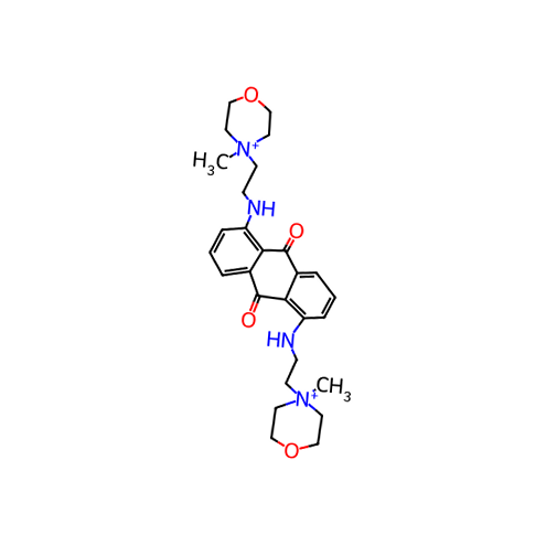 C[N+]1(CCNc2cccc3c2C(=O)c2cccc(NCC[N+]4(C)CCOCC4)c2C3=O)CCOCC1